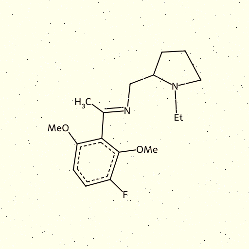 CCN1CCCC1C/N=C(\C)c1c(OC)ccc(F)c1OC